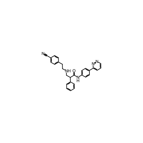 N#Cc1ccc(CCNCC(C(=O)Nc2ccc(-c3cccnn3)cc2)c2ccccc2)cc1